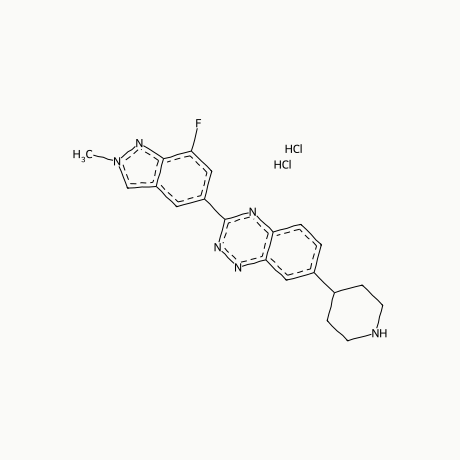 Cl.Cl.Cn1cc2cc(-c3nnc4cc(C5CCNCC5)ccc4n3)cc(F)c2n1